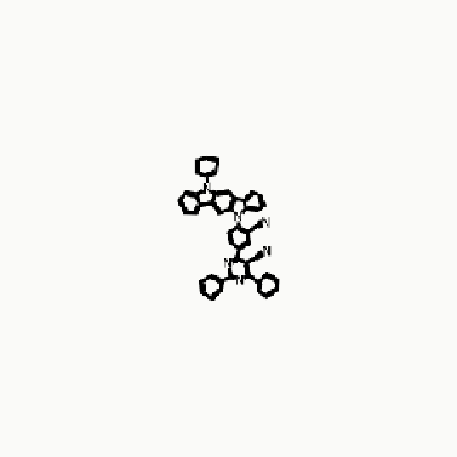 N#Cc1cc(-c2nc(-c3ccccc3)nc(-c3ccccc3)c2C#N)ccc1-n1c2ccccc2c2cc3c(cc21)c1ccccc1n3-c1ccccc1